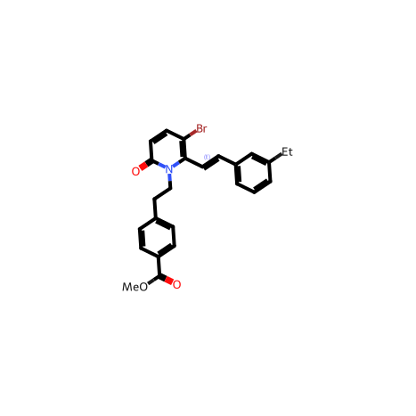 CCc1cccc(/C=C/c2c(Br)ccc(=O)n2CCc2ccc(C(=O)OC)cc2)c1